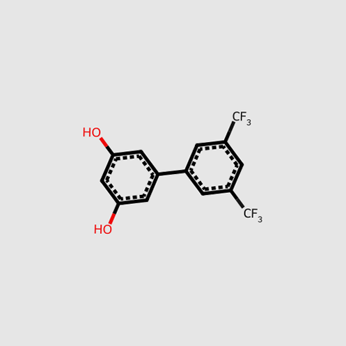 Oc1cc(O)cc(-c2cc(C(F)(F)F)cc(C(F)(F)F)c2)c1